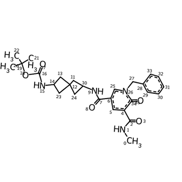 CNC(=O)c1cc(C(=O)NC2CC3(CC(NC(=O)OC(C)(C)C)C3)C2)cn(Cc2ccccc2)c1=O